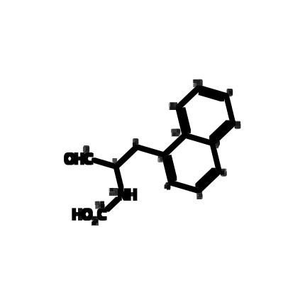 O=CC(Cc1cccc2ccccc12)NC(=O)O